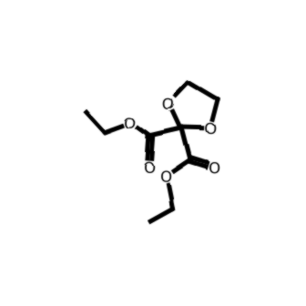 CCOC(=O)C1(C(=O)OCC)OCCO1